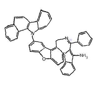 Nc1c(/C(=N\Cc2cccc3oc4ccc(-n5c6ccccc6c6ccc7ccccc7c65)cc4c23)c2ccccc2)sc2ccccc12